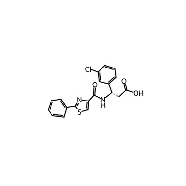 O=C(O)C[C@H](NC(=O)c1csc(-c2ccccc2)n1)c1cccc(Cl)c1